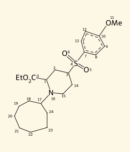 CCOC(=O)C1CC(S(=O)(=O)c2ccc(OC)cc2)CCN1C1CCCCCCC1